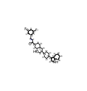 O=C(/C=C/c1cc(F)cc(F)c1)N1CCC(CC(CO)N2CCC(c3c[nH]c4ccccc34)CC2)CC1